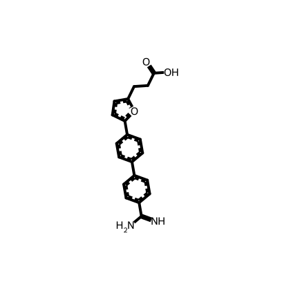 N=C(N)c1ccc(-c2ccc(-c3ccc(CCC(=O)O)o3)cc2)cc1